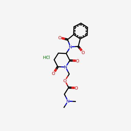 CN(C)CC(=O)OCN1C(=O)CCC(N2C(=O)c3ccccc3C2=O)C1=O.Cl